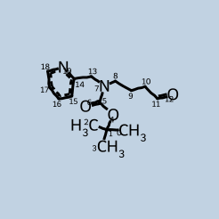 CC(C)(C)OC(=O)N(CCCC=O)Cc1ccccn1